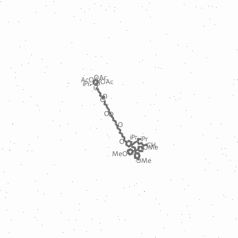 C#CCCCC(CCC1(CCC(c2ccc(OC)cc2)(c2ccc(OC)cc2)c2ccc(OC)cc2)CCC(C(=O)CCCCCCC(=O)CCCCCOC(=O)CCCCCOC(=O)CCCCO[C@H]2O[C@H](COC(C)=O)[C@H](OC(C)=O)[C@H](OC(C)=O)[C@H]2CC(C)C)CC1)C(C(C)C)C(C)C